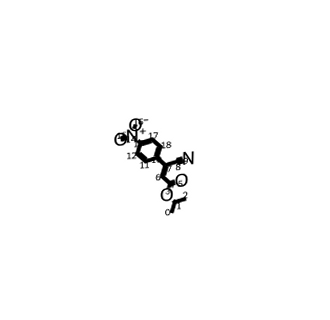 CC(C)OC(=O)C=C(C#N)c1ccc([N+](=O)[O-])cc1